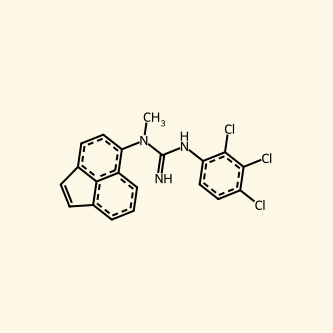 CN(C(=N)Nc1ccc(Cl)c(Cl)c1Cl)c1ccc2c3c(cccc13)C=C2